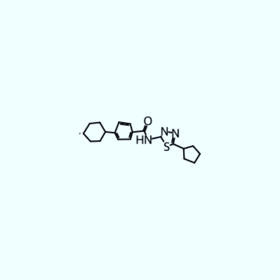 O=C(Nc1nnc(C2CCCC2)s1)c1ccc(C2CC[CH]CC2)cc1